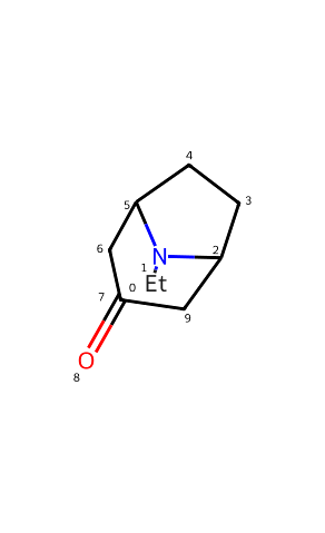 CCN1C2CCC1CC(=O)C2